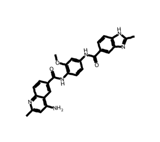 COc1cc(NC(=O)c2ccc3[nH]c(C)nc3c2)ccc1NC(=O)c1ccc2nc(C)cc(N)c2c1